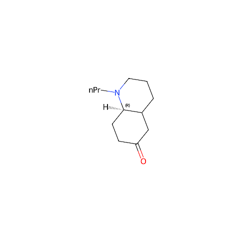 CCCN1CCCC2CC(=O)CC[C@H]21